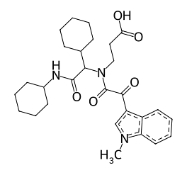 Cn1cc(C(=O)C(=O)N(CCC(=O)O)C(C(=O)NC2CCCCC2)C2CCCCC2)c2ccccc21